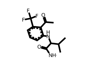 CC(=O)c1c(NC(C([NH])=O)C(C)C)cccc1C(F)(F)F